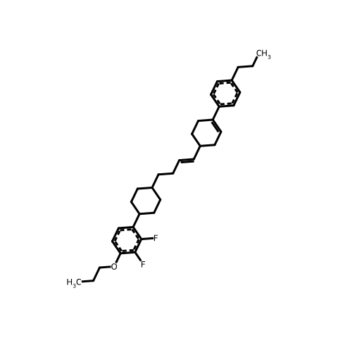 CCCOc1ccc(C2CCC(CC/C=C/C3CC=C(c4ccc(CCC)cc4)CC3)CC2)c(F)c1F